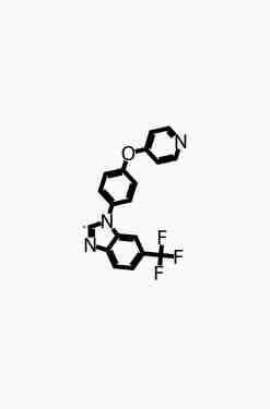 FC(F)(F)c1ccc2n[c]n(-c3ccc(Oc4ccncc4)cc3)c2c1